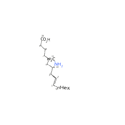 CCCCCCC=CCCCCCCCC(=O)O.CN